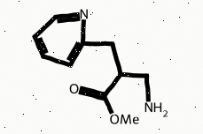 COC(=O)C(CN)Cc1ccccn1